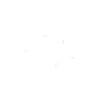 CCOC(=O)/C(O)=C/C(=O)c1ccco1